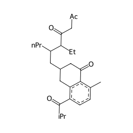 CCCC(CC1CC(=O)c2c(C)ccc(C(=O)C(C)C)c2C1)C(CC)C(=O)CC(C)=O